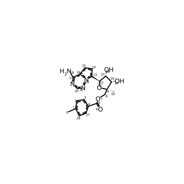 Cc1ccc(C(=O)OC[C@@]2(C)O[C@@H](c3ccc4c(N)ncnn34)[C@H](O)[C@@H]2O)cc1